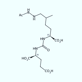 CC(=O)BNCC(C)CC[C@H](NC(=O)N[C@@H](CCC(=O)O)C(=O)O)C(=O)O